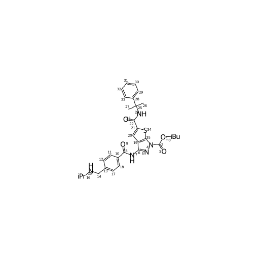 CCC(C)OC(=O)n1nc(NC(=O)c2ccc(CNC(C)C)cc2)c2cc(C(=O)NC(C)(C)c3ccccc3)sc21